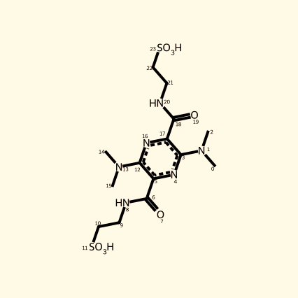 CN(C)c1nc(C(=O)NCCS(=O)(=O)O)c(N(C)C)nc1C(=O)NCCS(=O)(=O)O